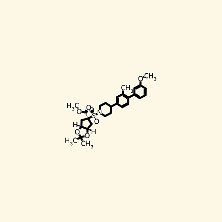 COC(=O)[C@]1(S(=O)(=O)N2CCC(c3ccc(-c4cccc(OC)c4)c(C)c3)CC2)C[C@@H]2OC(C)(C)O[C@@H]2C1